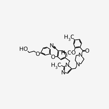 COc1cc(C)ccc1C(=O)N1CCN(Cc2cnc(C)n2Cc2ccc(C#N)c(Oc3cccc(OCCO)c3)c2)CC1